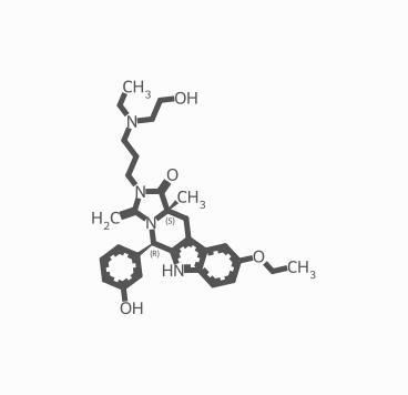 C=C1N(CCCN(CC)CCO)C(=O)[C@]2(C)Cc3c([nH]c4ccc(OCC)cc34)[C@@H](c3cccc(O)c3)N12